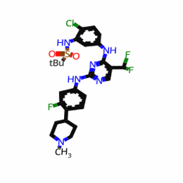 CN1CCC(c2ccc(Nc3ncc(C(F)F)c(Nc4ccc(Cl)c(NS(=O)(=O)C(C)(C)C)c4)n3)cc2F)CC1